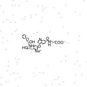 O=C([O-])CCCNC(=O)c1ccc2c(Oc3ccc(C[C@@H](CO)NC[C@H](O)COc4ccccc4)cc3)ccnc2c1.[Na+]